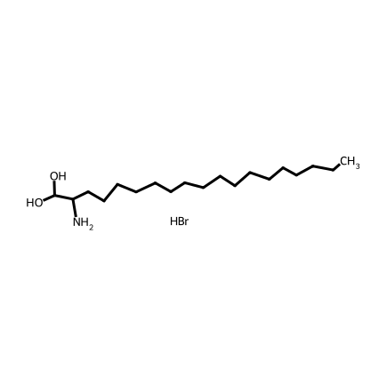 Br.CCCCCCCCCCCCCCCCCC(N)C(O)O